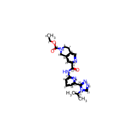 CCOC(=O)N1CCc2cnc(C(=O)Nc3cccc(-c4nncn4C(C)C)n3)cc2C1